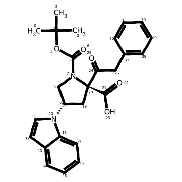 CC(C)(C)OC(=O)N1C[C@@H](n2ccc3ccccc32)C[C@@]1(C(=O)O)C(=O)Cc1ccccc1